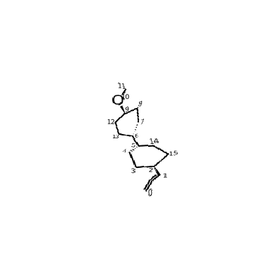 C=C[C@H]1CC[C@H]([C@H]2CC[C@H](OC)CC2)CC1